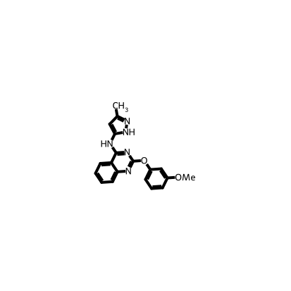 COc1cccc(Oc2nc(Nc3cc(C)n[nH]3)c3ccccc3n2)c1